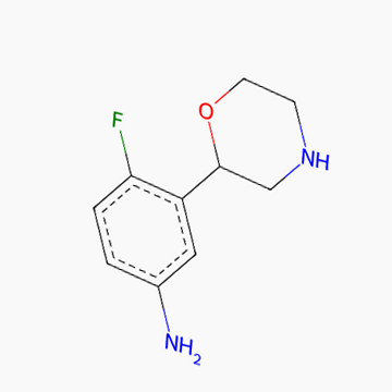 Nc1ccc(F)c(C2CNCCO2)c1